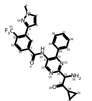 Cn1ccc(-c2cc(C(=O)Nc3cnc(C(N)C(=O)C4CC4)nc3-c3ccccc3)ccc2C(F)(F)F)n1